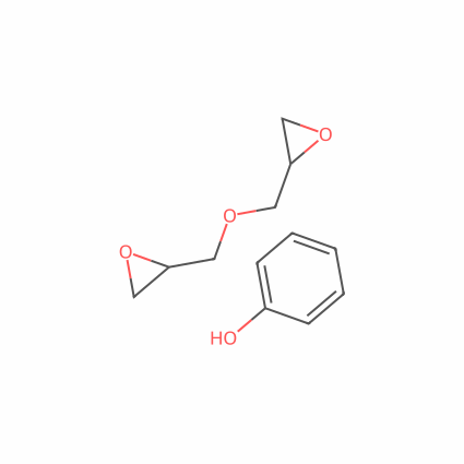 C(OCC1CO1)C1CO1.Oc1ccccc1